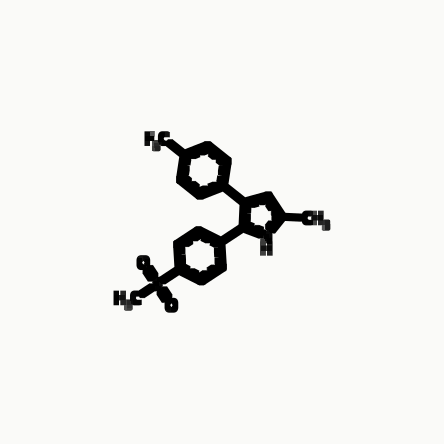 Cc1cc(-c2ccc(C(F)(F)F)cc2)c(-c2ccc(S(C)(=O)=O)cc2)[nH]1